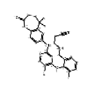 CC1(C)CCC(=O)Nc2ccc(Nc3ncc(Cl)c(Nc4c(F)cccc4CNCCC#N)n3)cc21